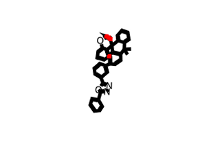 CC1(C)c2ccccc2C2(c3ccccc3Oc3ccccc32)c2cc(-c3cccc(-c4nnc(-c5ccccc5)o4)c3)ccc21